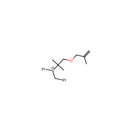 C=C(C)COCC(C)(C)[SiH](CC(C)C)C(C)C